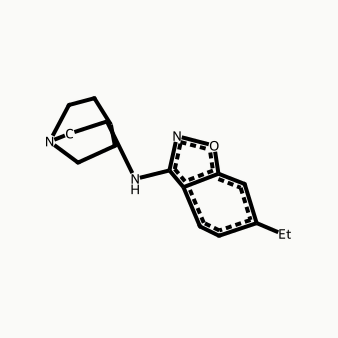 CCc1ccc2c(NC3CN4CCC3CC4)noc2c1